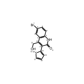 O=c1[nH]c2ccc(Br)cc2c(CO)c1-c1cccs1